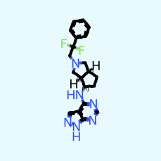 FC(F)(CN1C[C@@H]2CC[C@@H](Nc3ncnc4[nH]ncc34)[C@@H]2C1)c1ccccc1